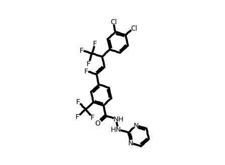 O=C(NNc1ncccn1)c1ccc(C(F)=CC(c2ccc(Cl)c(Cl)c2)C(F)(F)F)cc1C(F)(F)F